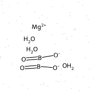 O.O.O.O=B[O-].O=B[O-].[Mg+2]